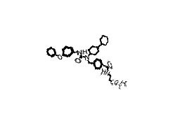 O=C(O)CCNC(=O)c1ccc(CN(C(=O)Nc2cccc(Oc3ccccc3)c2)C2CCC(C3CCCCC3)CC2)cc1